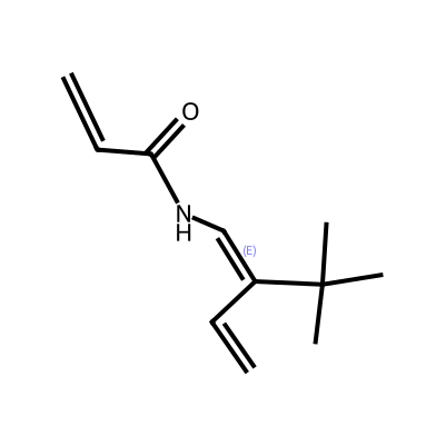 C=CC(=O)N/C=C(\C=C)C(C)(C)C